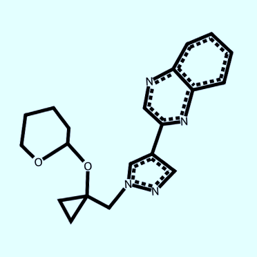 c1ccc2nc(-c3cnn(CC4(OC5CCCCO5)CC4)c3)cnc2c1